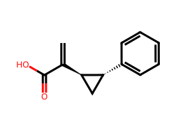 C=C(C(=O)O)[C@@H]1C[C@H]1c1ccccc1